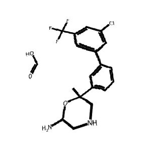 CC1(c2cccc(-c3cc(Cl)cc(C(F)(F)F)c3)c2)CNCC(N)O1.O=CO